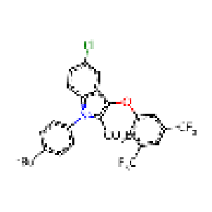 CCCCc1ccc(-n2c(C(=O)OCC)c(Oc3cc(C(F)(F)F)cc(C(F)(F)F)c3)c3cc(Cl)ccc32)cc1